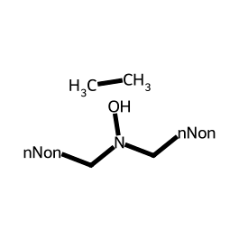 CC.CCCCCCCCCCN(O)CCCCCCCCCC